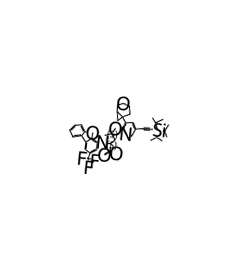 COC(=O)[C@@H]1C[C@H](Oc2ncc(C#C[Si](C(C)C)(C(C)C)C(C)C)cc2C23CCOCC2C3)CN1c1cc(C(F)(F)F)cc2c1oc1ccccc12